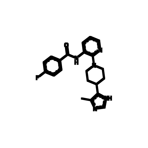 Cc1nc[nH]c1C1CCN(c2ncccc2NC(=O)c2ccc(F)cc2)CC1